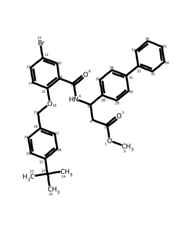 COC(=O)CC(NC(=O)c1cc(Br)ccc1OCc1ccc(C(C)(C)C)cc1)c1ccc(-c2ccccc2)cc1